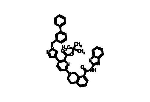 CC(C)(C)OC(=O)c1nc(N2CCc3cccc(C(=O)Nc4nc5ccccc5s4)c3C2)ccc1-c1cnn(Cc2cccc(-c3ccccc3)c2)c1